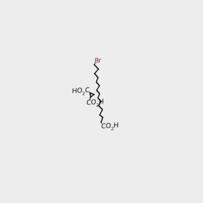 O=C(O)C1CC1C(=O)O.O=C(O)CCCCCCCCCCCCCCCBr